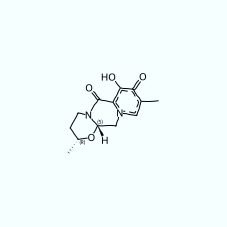 Cc1cn2c(c(O)c1=O)C(=O)N1CC[C@@H](C)O[C@H]1C2